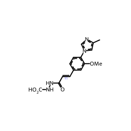 COc1cc(/C=C/C(=O)NNC(=O)O)ccc1-n1cnc(C)c1